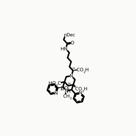 CCCCCCCCCCCC(=O)NCCCC[C@@H](C(=O)O)N1CC2(C(=O)O)C(c3ccccn3)N(C)[C@@H](c3ccccn3)C(C(=O)O)(C1)[C@@H]2O